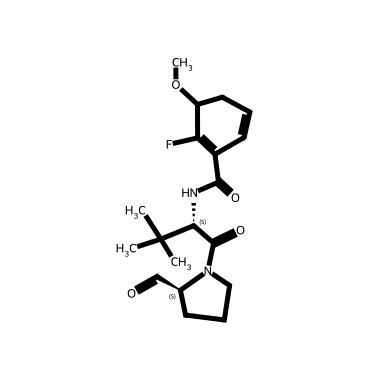 COC1CC=CC(C(=O)N[C@H](C(=O)N2CCC[C@H]2C=O)C(C)(C)C)=C1F